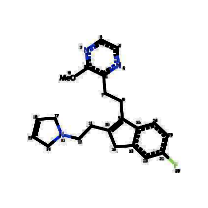 COc1nccnc1CCC1=C(CCN2CC=CC2)Cc2cc(F)ccc21